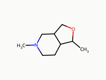 CC1OCC2CN(C)CCC21